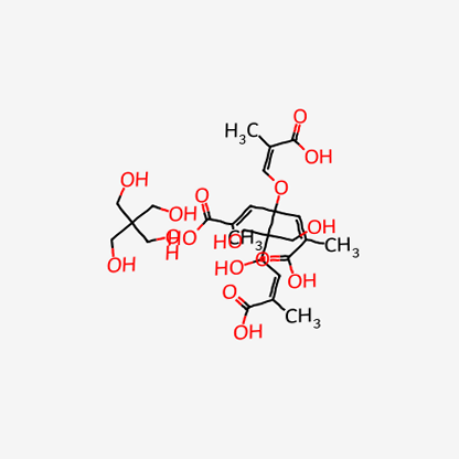 CC(=COC(C=C(C)C(=O)O)(C=C(C)C(=O)O)C(CO)(CO)C(O)C=C(C)C(=O)O)C(=O)O.OCC(CO)(CO)CO